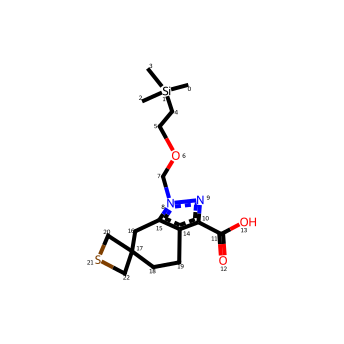 C[Si](C)(C)CCOCn1nc(C(=O)O)c2c1CC1(CC2)CSC1